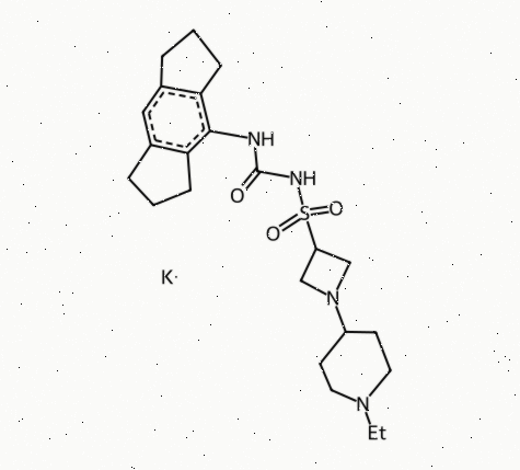 CCN1CCC(N2CC(S(=O)(=O)NC(=O)Nc3c4c(cc5c3CCC5)CCC4)C2)CC1.[K]